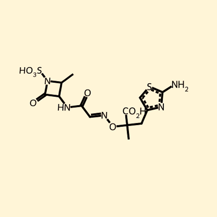 CC1C(NC(=O)C=NOC(C)(Cc2csc(N)n2)C(=O)O)C(=O)N1S(=O)(=O)O